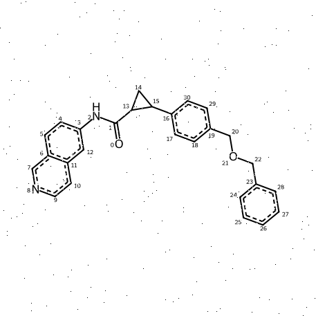 O=C(Nc1ccc2cnccc2c1)C1CC1c1ccc(COCc2ccccc2)cc1